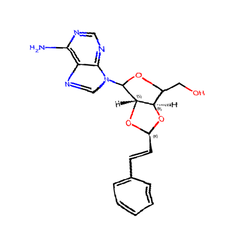 Nc1ncnc2c1ncn2C1OC(CO)[C@H]2O[C@@H](C=Cc3ccccc3)O[C@H]12